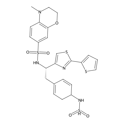 CN1CCOc2cc(S(=O)(=O)N[C@@H](CC3=CCC(N[SH](=O)=O)C=C3)c3csc(-c4cccs4)n3)ccc21